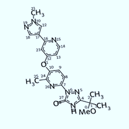 COC(C)(C)c1nn(-c2ccc(Oc3ccnc(-c4cnn(C)c4)c3)c(C)n2)c(=O)[nH]1